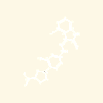 CN(C)C1CCN(c2ccc(NC=C3C(=O)Nc4cccc(F)c43)cc2F)C1